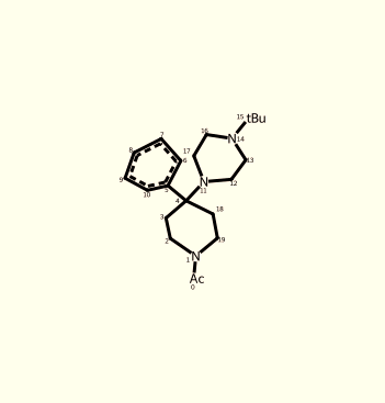 CC(=O)N1CCC(c2ccccc2)(N2CCN(C(C)(C)C)CC2)CC1